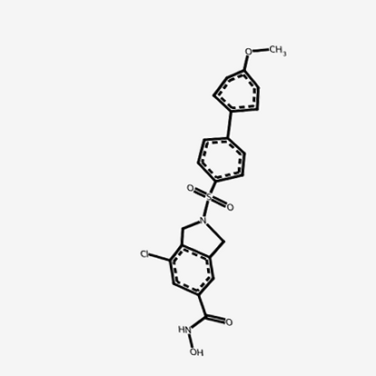 COc1ccc(-c2ccc(S(=O)(=O)N3Cc4cc(C(=O)NO)cc(Cl)c4C3)cc2)cc1